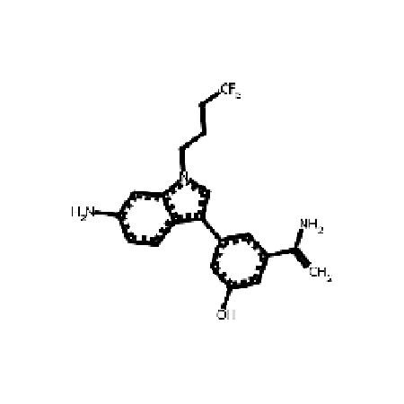 C=C(N)c1cc(O)cc(-c2cn(CCCC(F)(F)F)c3cc(N)ccc23)c1